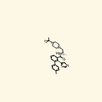 CC(=O)N1CCN(C[C@H](C)NC(=O)c2cccc(-c3ccc(C)cc3)c2-c2cncs2)CC1